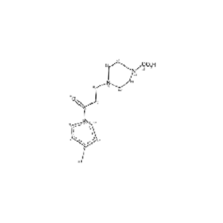 Cc1ccc(C(=O)CCN2CCN(C(=O)O)CC2)nc1